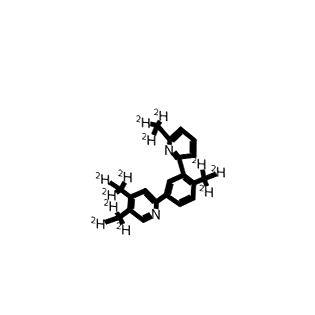 [2H]C([2H])([2H])c1cccc(-c2cc(-c3cc(C([2H])([2H])[2H])c(C([2H])([2H])[2H])cn3)ccc2C([2H])([2H])[2H])n1